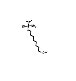 CCCCCCCCCCCCCCCCCCOC(N)(CC)N(C)C